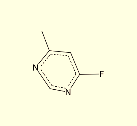 Cc1cc(F)ncn1